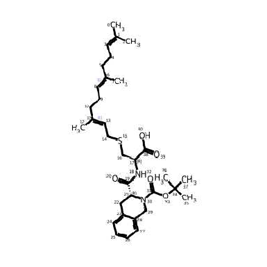 CC(C)=CCC/C(C)=C/CC/C(C)=C/CSC[C@H](NC(=O)[C@H]1Cc2ccccc2CN1C(=O)OC(C)(C)C)C(=O)O